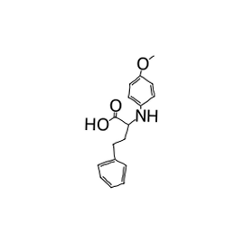 COc1ccc(NC(CCc2ccccc2)C(=O)O)cc1